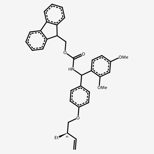 C=C[C@@H](CC)COc1ccc(C(NC(=O)OCC2c3ccccc3-c3ccccc32)c2ccc(OC)cc2OC)cc1